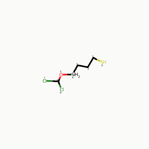 SCCC[SiH2]OC(Cl)Cl